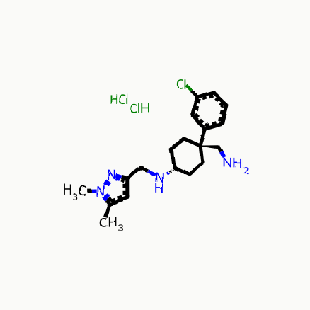 Cc1cc(CN[C@H]2CC[C@@](CN)(c3cccc(Cl)c3)CC2)nn1C.Cl.Cl